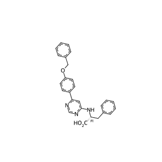 O=C(O)[C@@H](Cc1ccccc1)Nc1cc(-c2ccc(OCc3ccccc3)cc2)ncn1